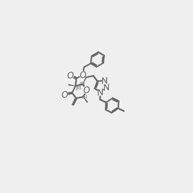 C=C1C(=O)[C@](C)(C(=O)OCc2ccccc2)[C@@H](CCc2cn(Cc3ccc(C)cc3)nn2)O[C@H]1C